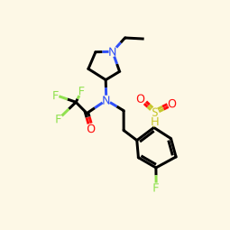 CCN1CCC(N(CCc2cc(F)ccc2[SH](=O)=O)C(=O)C(F)(F)F)C1